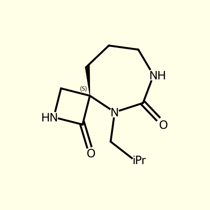 CC(C)CN1C(=O)NCCC[C@@]12CNC2=O